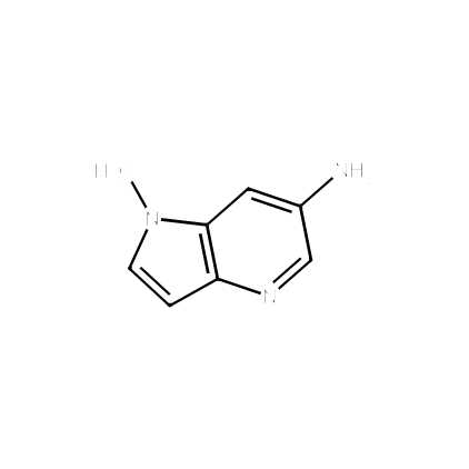 Cn1ccc2ncc(N)cc21